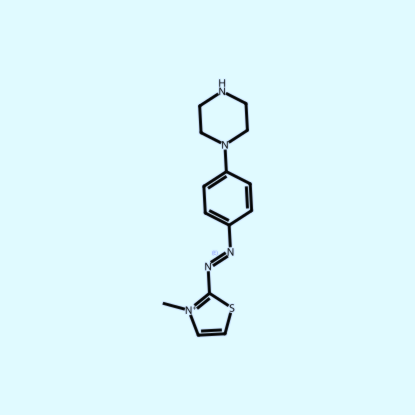 C[n+]1ccsc1/N=N/c1ccc(N2CCNCC2)cc1